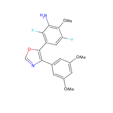 COc1cc(OC)cc(-c2ncoc2-c2cc(F)c(OC)c(N)c2F)c1